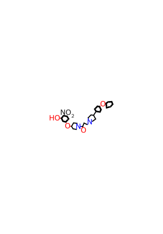 O=C(CCN1CCC(c2ccc(Oc3ccccc3)cc2)CC1)N1CCC(Oc2ccc([N+](=O)[O-])c(O)c2)CC1